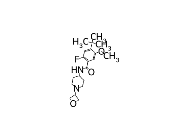 COc1cc(C(=O)NC2CCN(C3COC3)CC2)c(F)cc1C(C)(C)C